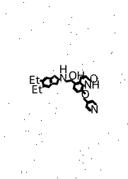 CCc1cc2c(cc1CC)CC(NCC(O)c1ccc(OCc3ccncc3)c3[nH]c(=O)ccc13)C2